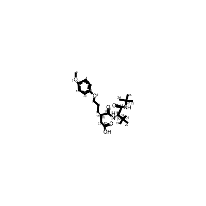 COc1ccc(OCCC[C@H](CC(=O)O)C(=O)N[C@H](C(=O)NC(C)(C)C)C(C)(C)C)cc1